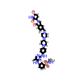 Cc1cnc(Nc2ccc(N3CCC(N4CCN(Cc5cc6c(cc5F)C(=O)N(C5CCC(=O)NC5=O)C6)CC4)CC3)cc2)nc1Nc1cccc(S(=O)(=O)NC(C)(C)C)c1